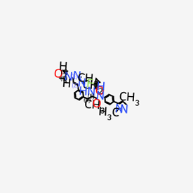 C=N/C(=C\C(=N/C)N1C[C@@H]2C[C@H]1CO2)c1cccc([C@@H](C)[C@H](NC(=O)C2(F)CC2)C(=O)Nc2ccc(-c3c(C)cnn3C)cc2)c1